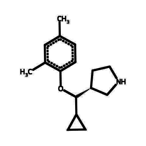 Cc1ccc(OC(C2CC2)[C@@H]2CCNC2)c(C)c1